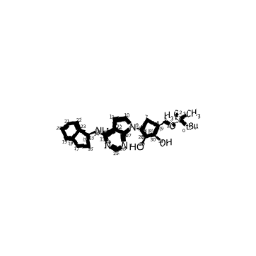 CC(C)(C)[Si](C)(C)OC[C@@H]1C[C@@H](n2ccc3c(N[C@H]4CCc5ccccc54)ncnc32)[C@H](O)[C@@H]1O